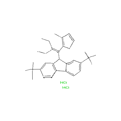 CC[Si](CC)=[Zr]([C]1=C(C)C=CC1)[CH]1c2cc(C(C)(C)C)ccc2-c2ccc(C(C)(C)C)cc21.Cl.Cl